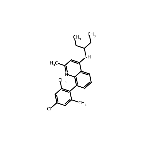 CCC(CC)Nc1cc(C)nc2c(-c3c(C)cc(Cl)cc3C)cccc12